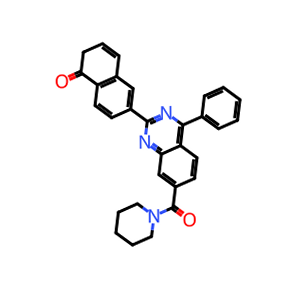 O=C1CC=Cc2cc(-c3nc(-c4ccccc4)c4ccc(C(=O)N5CCCCC5)cc4n3)ccc21